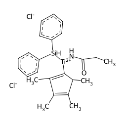 CCC(=O)[NH][Ti+2]([C]1=C(C)C(C)=C(C)C1C)[SiH](c1ccccc1)c1ccccc1.[Cl-].[Cl-]